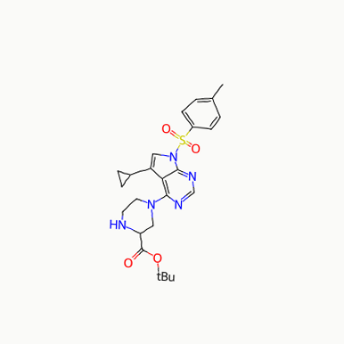 Cc1ccc(S(=O)(=O)n2cc(C3CC3)c3c(N4CCNC(C(=O)OC(C)(C)C)C4)ncnc32)cc1